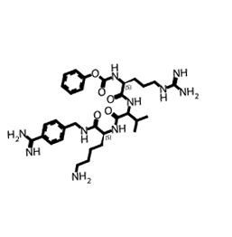 CC(C)C(NC(=O)[C@H](CCCNC(=N)N)NC(=O)Oc1ccccc1)C(=O)N[C@@H](CCCCN)C(=O)NCc1ccc(C(=N)N)cc1